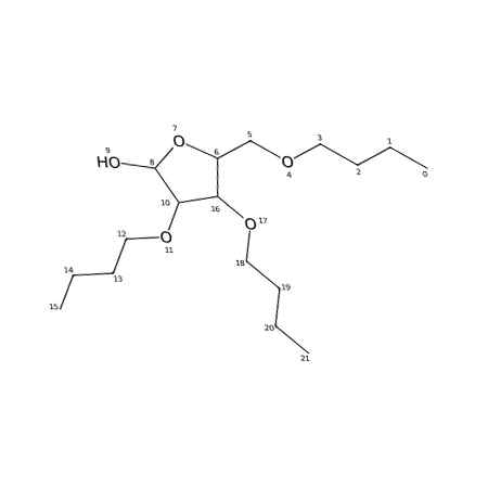 CCCCOCC1OC(O)C(OCCCC)C1OCCCC